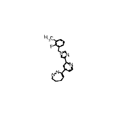 Cc1cccc(Cn2cnc(-c3cc(C4=CCCCN=N4)ccn3)c2)c1F